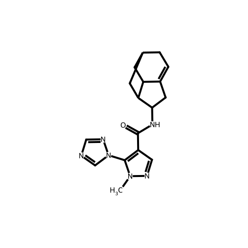 Cn1ncc(C(=O)NC2CC3=CCC4CC3C2C4)c1-n1cncn1